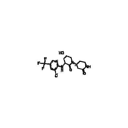 Cl.O=C1C[C@@H](N2CCCC(Nc3ncc(C(F)(F)F)cc3Cl)C2=O)CCN1